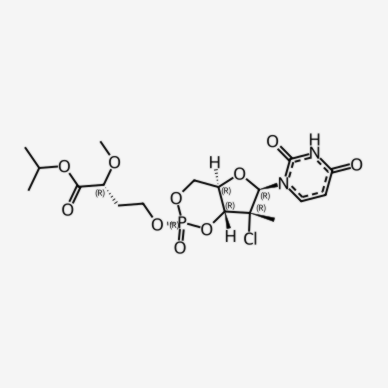 CO[C@H](CCO[P@]1(=O)OC[C@H]2O[C@@H](n3ccc(=O)[nH]c3=O)[C@](C)(Cl)[C@@H]2O1)C(=O)OC(C)C